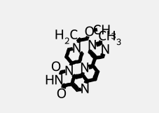 C=C(COC)N1CCC(n2c(=O)[nH]c(=O)c3cnc4ccc(-c5cnc(C)nc5)nc4c32)CC1